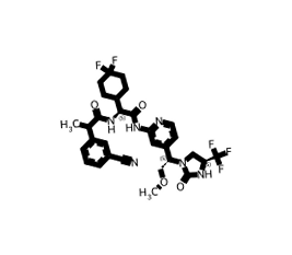 COC[C@H](c1ccnc(NC(=O)[C@@H](NC(=O)C(C)c2cccc(C#N)c2)C2CCC(F)(F)CC2)c1)N1C[C@@H](C(F)(F)F)NC1=O